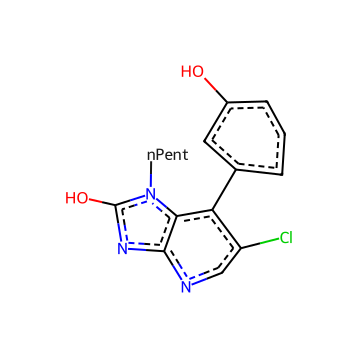 CCCCCn1c(O)nc2ncc(Cl)c(-c3cccc(O)c3)c21